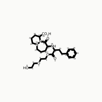 O=C(OCCOCCO)C(CCc1ccccc1)NC1CCCN2CCCC(C(=O)O)N2C1=O